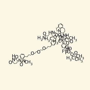 C/C(=C\C(=O)N[C@H]1CCc2cccc3c2N(C1=O)[C@H](C(=O)N[C@@H](CCC(N)=O)[C@@H](C)OCc1ccc(CCCOCCOCCOCCCc2cccc4c2n(C)c(=O)n4C2CCC(=O)NC2=O)cc1)C3)c1ccc(C(F)(F)P(=O)(OCOC(=O)C(C)(C)C)OCOC(=O)C(C)(C)C)cc1